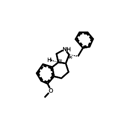 COc1cccc2c1CCC1[C@@H]2CN[C@@H]1Cc1ccccc1